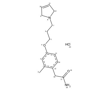 Cc1cc(OCCCN2CC=CC2)ccc1CC(N)=O.Cl